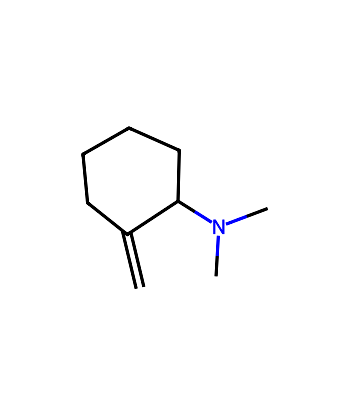 C=C1CCCCC1N(C)C